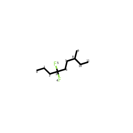 CCCC(F)(F)CCC(C)CC